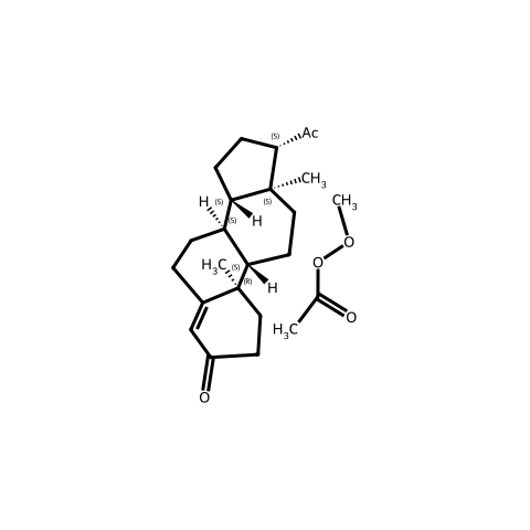 CC(=O)[C@H]1CC[C@H]2[C@@H]3CCC4=CC(=O)CC[C@]4(C)[C@H]3CC[C@]12C.COOC(C)=O